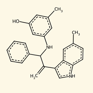 C=C(c1c[nH]c2ccc(C)cc12)C(Nc1cc(C)cc(O)c1)c1ccccc1